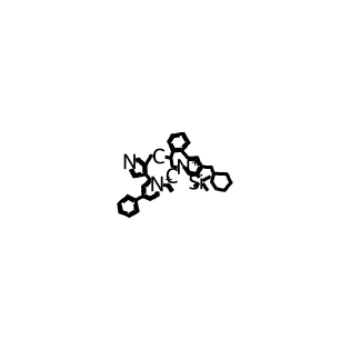 C=C1CC2C(CCc3cnccc3-c3cc(-c4ccccc4)cc[n+]31)c1ccccc1-c1cc(CC3CCCCC3)c([Si](C)(C)C)c[n+]12